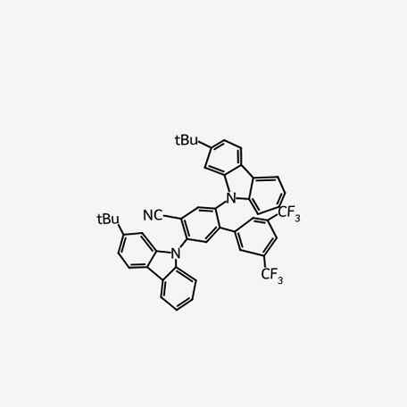 CC(C)(C)c1ccc2c3ccccc3n(-c3cc(-c4cc(C(F)(F)F)cc(C(F)(F)F)c4)c(-n4c5ccccc5c5ccc(C(C)(C)C)cc54)cc3C#N)c2c1